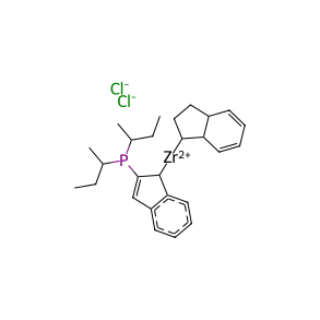 CCC(C)P(C1=Cc2ccccc2[CH]1[Zr+2][CH]1CCC2C=CC=CC21)C(C)CC.[Cl-].[Cl-]